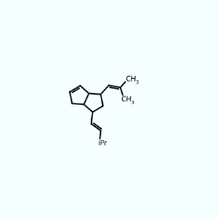 CC(C)=CC1CC(/C=C/C(C)C)C2CC=CC12